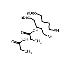 CCC(=O)O.CCC(=O)O.CCCCCCCCCCCCCCS.CCCCCCCCCCCCCCS